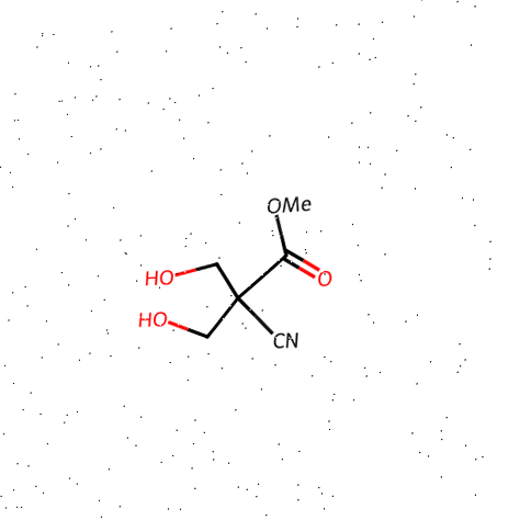 COC(=O)C(C#N)(CO)CO